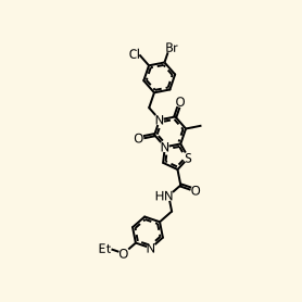 CCOc1ccc(CNC(=O)c2cn3c(=O)n(Cc4ccc(Br)c(Cl)c4)c(=O)c(C)c3s2)cn1